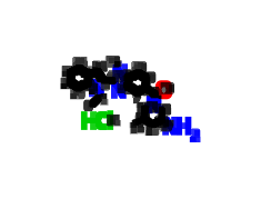 CCn1c(-c2nc3cc(C(=O)N4C[C@H](C)C[C@H](N)C4)ccc3n2C)cc2ccccc21.Cl